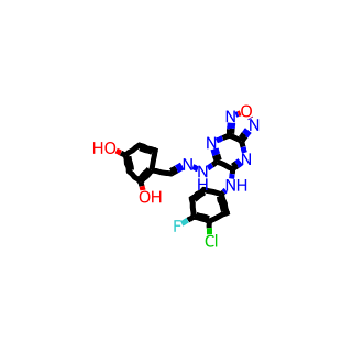 Oc1ccc(C=NNc2nc3nonc3nc2Nc2ccc(F)c(Cl)c2)c(O)c1